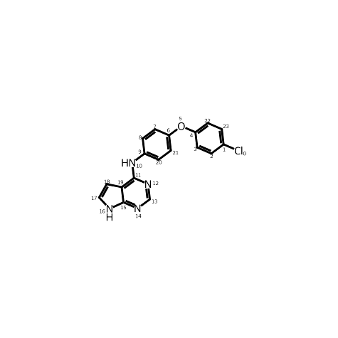 Clc1ccc(Oc2ccc(Nc3ncnc4[nH]ccc34)cc2)cc1